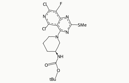 CSc1nc(N2CCC[C@H](NC(=O)OC(C)(C)C)C2)c2c(Cl)nc(Cl)c(F)c2n1